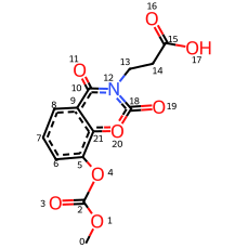 COC(=O)Oc1cccc2c(=O)n(CCC(=O)O)c(=O)oc12